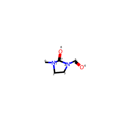 CN1CCN([C]=O)C1=O